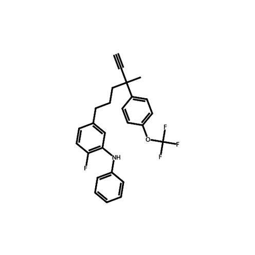 C#CC(C)(CCCc1ccc(F)c(Nc2ccccc2)c1)c1ccc(OC(F)(F)F)cc1